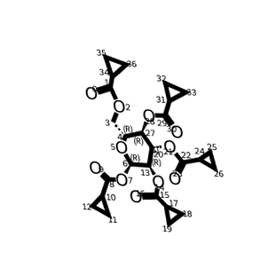 O=C(OC[C@H]1O[C@H](OC(=O)C2CC2)[C@H](OC(=O)C2CC2)[C@@H](OC(=O)C2CC2)[C@@H]1OC(=O)C1CC1)C1CC1